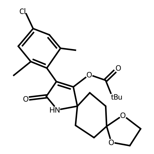 Cc1cc(Cl)cc(C)c1C1=C(OC(=O)C(C)(C)C)C2(CCC3(CC2)OCCO3)NC1=O